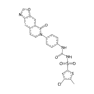 Cc1sc(S(=O)(=O)NC(=O)Nc2ccc(-n3ccc4cc5ncoc5cc4c3=O)cc2)cc1Cl